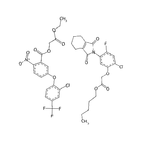 CCCCCOC(=O)COc1cc(N2C(=O)C3=C(CCCC3)C2=O)c(F)cc1Cl.CCOC(=O)COC(=O)c1cc(Oc2ccc(C(F)(F)F)cc2Cl)ccc1[N+](=O)[O-]